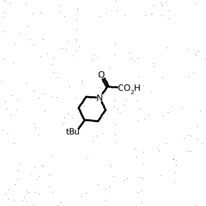 CC(C)(C)C1CCN(C(=O)C(=O)O)CC1